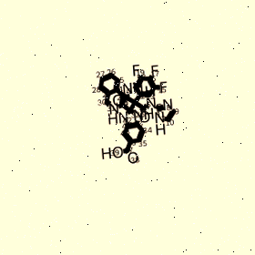 NC(=O)C(C(=O)Nc1ncc[nH]1)(c1cc(F)c(F)c(F)c1)C1(c2cc3ccccc3cn2)Nc2ccc(C(=O)O)cc2N1